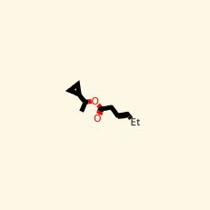 CCC=CCC(=O)OC(C)C1CC1